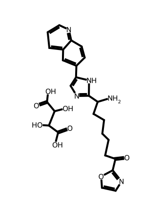 NC(CCCCCC(=O)c1ncco1)c1ncc(-c2ccc3ncccc3c2)[nH]1.O=C(O)C(O)C(O)C(=O)O